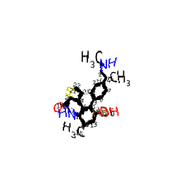 Br.CNC[C@H](C)c1ccc(-c2c(O)cc(C)c3[nH]c(=O)c4sccc4c23)cc1